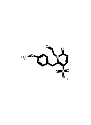 COc1ccc(Cc2c(S(N)(=O)=O)ccc(=O)n2CC=O)cc1